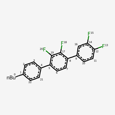 CCCCc1ccc(-c2ccc(-c3ccc(F)c(F)c3)c(F)c2F)cc1